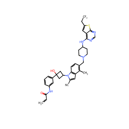 C=CC(=O)Nc1cccc(C2(O)CC(n3c(C#N)cc4c(C)c(CN5CCC(Nc6ncnc7sc(CC(F)(F)F)cc67)CC5)ccc43)C2)c1